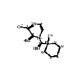 N=C(n1ccnc(Cl)c1=N)C1(F)CCCCC1